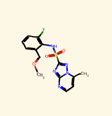 COCc1cccc(F)c1NS(=O)(=O)c1nc2nccc(C)n2n1